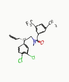 C=CC[C@H](CN(C)C(=O)c1cc(C(F)(F)F)cc(C(F)(F)F)c1)c1ccc(Cl)c(Cl)c1